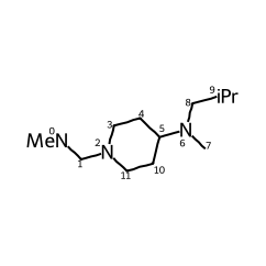 CNCN1CCC(N(C)CC(C)C)CC1